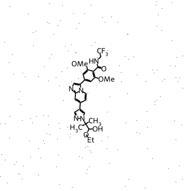 CCOC(O)C(C)(C)n1cc(-c2ccn3c(-c4cc(OC)c(C(=O)NCC(F)(F)F)c(OC)c4)cnc3c2)cn1